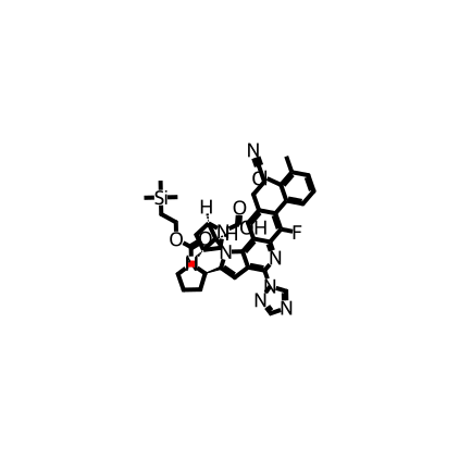 Cc1cccc(-c2c(CCC#N)cc3c(nc(-n4cncn4)c4cc([C@H]5CCCN5C(=O)OCC[Si](C)(C)C)n([C@H]5[C@@H]6C[C@H]5N(C(=O)O)C6)c43)c2F)c1Cl